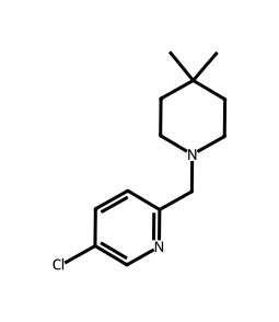 CC1(C)CCN(Cc2ccc(Cl)cn2)CC1